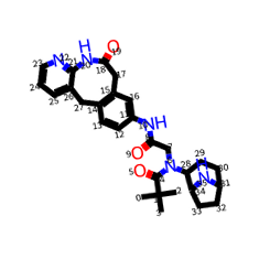 CC(C)(C)C(=O)N(CC(=O)Nc1ccc2c(c1)CC(=O)Nc1ncccc1C2)C1CCC2CCC1N2